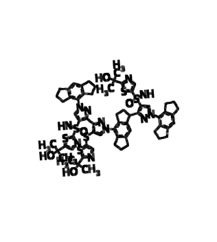 CC(C)(O)c1cnc(S(=N)(=O)c2cn(-c3c4c(cc5c3CCC5)CCC4)nc2-c2nn(-c3c4c(cc5c3CCC5c3nn(-c5c6c(cc7c5CCC7)CCC6)cc3S(=N)(=O)c3cnc(C(C)(C)O)s3)CCC4)cc2Sc2cnc(C(C)(C)O)s2)s1